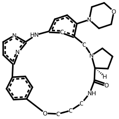 O=C1NCCCOc2ccc(cc2)-c2ccnc(n2)Nc2ccc(N3CCOCC3)c(c2)CN2CCC[C@@H]12